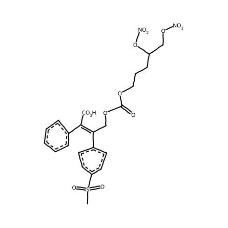 CS(=O)(=O)c1ccc(/C(COC(=O)OCCCC(CO[N+](=O)[O-])O[N+](=O)[O-])=C(/C(=O)O)c2ccccc2)cc1